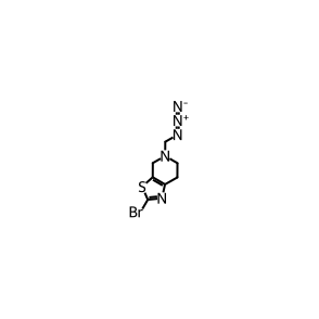 [N-]=[N+]=NCN1CCc2nc(Br)sc2C1